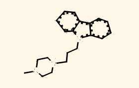 CN1CCN(CCCn2c3ccccc3c3ccccc32)CC1